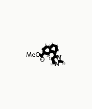 COC(=O)c1ccc2cccc(-c3ccnc(C)n3)c2c1